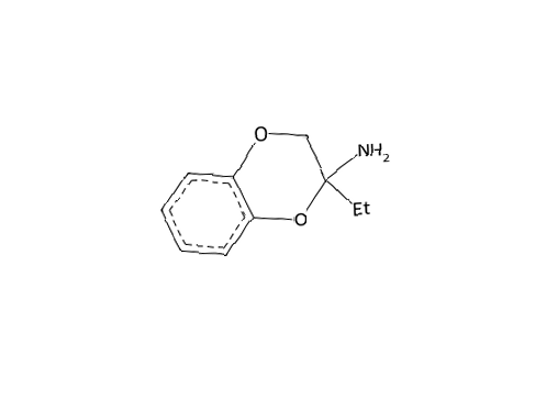 CCC1(N)COc2ccccc2O1